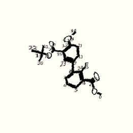 COC(=O)c1cccc(-c2ccc(OC)c(C(=O)OC(C)(C)C)c2)c1F